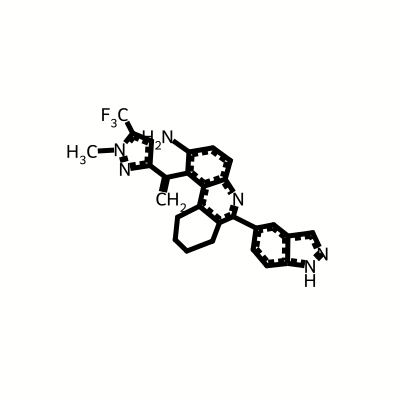 C=C(c1cc(C(F)(F)F)n(C)n1)c1c(N)ccc2nc(-c3ccc4[nH]ncc4c3)c3c(c12)CCCC3